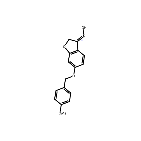 COc1ccc(COc2ccc3c(c2)OC/C3=N\O)cc1